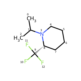 CC(C)N1CCCC[C@@H]1C(F)(F)F